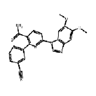 COc1cc2ncn(-c3ccc(C(N)=O)c(-c4cccc(C#N)c4)n3)c2cc1OC